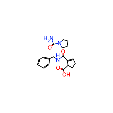 NC(=O)N1CCCC1.O=C(NCc1ccccc1)C1=CCCC1C(=O)O